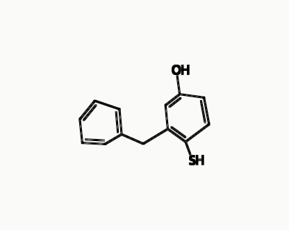 Oc1ccc(S)c(Cc2ccccc2)c1